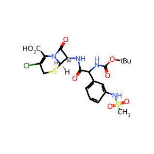 CC(C)(C)OC(=O)NC(C(=O)N[C@@H]1C(=O)N2C(C(=O)O)=C(Cl)CS[C@H]12)c1cccc(NS(C)(=O)=O)c1